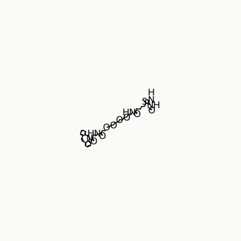 CNC1CSC(CCCCC(=O)NCCOCCOCCOCCOCCC(=O)NCCC(=O)N2Cc3ccccc3C#Cc3ccccc32)C1NC=O